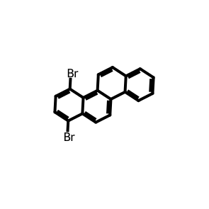 Brc1ccc(Br)c2c1ccc1c3ccccc3ccc12